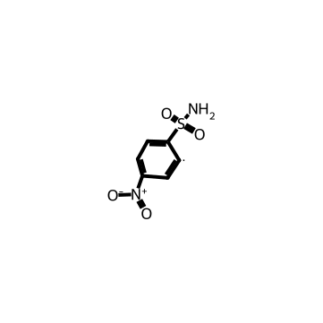 NS(=O)(=O)c1[c]cc([N+](=O)[O-])cc1